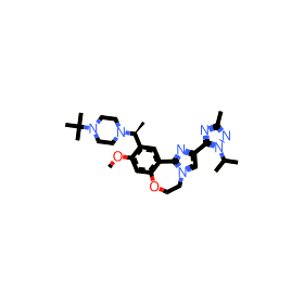 COc1cc2c(cc1[C@H](C)N1CCN(C(C)(C)C)CC1)-c1nc(-c3nc(C)nn3C(C)C)cn1CCO2